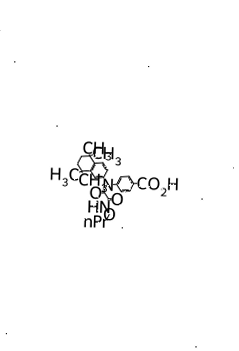 CCCONC(=O)C(=O)N(c1ccc(C(=O)O)cc1)c1ccc2c(c1)C(C)(C)CCC2(C)C